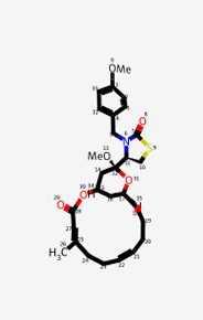 COc1ccc(CN2C(=O)SC[C@H]2[C@@]2(OC)C[C@H]3C[C@@H](CCCC=CCCC(C)=CC(=O)O3)O2)cc1